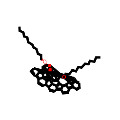 CCCCCCCCCCCCOc1ccc(C2(c3ccc(OCCCCCCCCCCCC)cc3)C34C5=C6C=CC7c8c6c3c3c6c9c%10c%11c(c%12ccc%13c%14ccc7c7c8c3c9c(c%147)c%13c%12%10)C=CC3C%11C=6C42C3C=C5)cc1